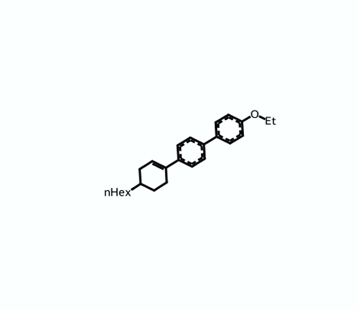 CCCCCCC1CC=C(c2ccc(-c3ccc(OCC)cc3)cc2)CC1